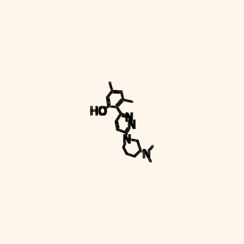 Cc1cc(C)c(-c2ccc(N3CCC[C@@H](N(C)C)C3)nn2)c(O)c1